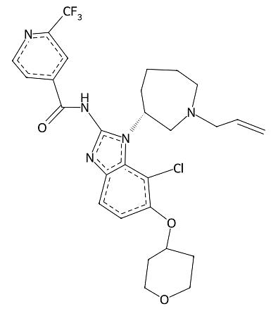 C=CCN1CCCC[C@@H](n2c(NC(=O)c3ccnc(C(F)(F)F)c3)nc3ccc(OC4CCOCC4)c(Cl)c32)C1